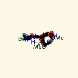 COc1cc2cc(c1Cl)N(C)C(=O)C[C@H](OC(=O)CCCCCNC(=O)c1ccc3nc(CBr)c(CBr)nc3c1)[C@](C)(O)[C@H]1C[C@@]1(C)[C@@H]1C[C@@H](NC(=O)O1)[C@H](OC)/C=C/C=C(\C)C2